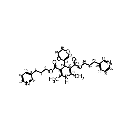 CC1=C(C(=O)OCCCc2cccnc2)C(C2=COCCO2)C(C(=O)OCCCc2cccnc2)=C(C)N1